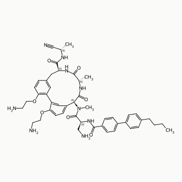 CCCCc1ccc(-c2ccc(C(=O)N[C@@H](CN)C(=O)N(C)[C@@H]3C(=O)N[C@@H](C)C(=O)N[C@H](C(=O)N[C@@H](C)C#N)Cc4ccc(OCCN)c(c4)-c4cc3ccc4OCCN)cc2)cc1